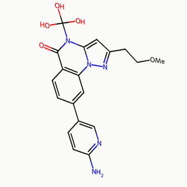 COCCc1cc2n(C(O)(O)O)c(=O)c3ccc(-c4ccc(N)nc4)cc3n2n1